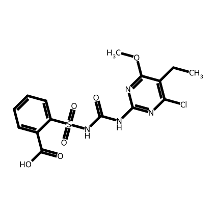 CCc1c(Cl)nc(NC(=O)NS(=O)(=O)c2ccccc2C(=O)O)nc1OC